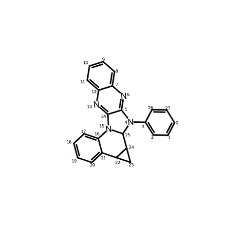 c1ccc(N2c3nc4ccccc4nc3N3c4ccccc4C4CC4C23)cc1